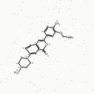 CCC(C)COc1cc(-c2cc3ccc(N4CCN(C)CC4)cc3c(=O)o2)ccc1C